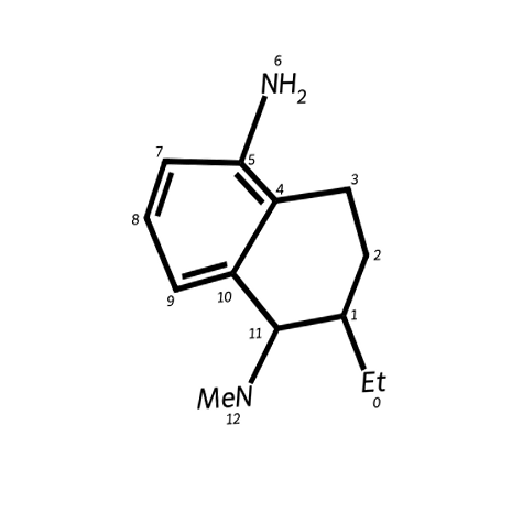 CCC1CCc2c(N)cccc2C1NC